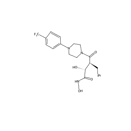 CC(C)C[C@H](C(=O)N1CCN(c2ccc(C(F)(F)F)cc2)CC1)[C@@H](O)C(=O)NO